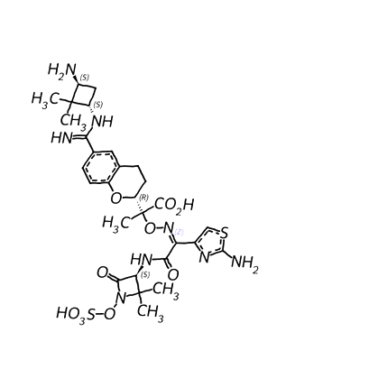 CC(O/N=C(\C(=O)N[C@@H]1C(=O)N(OS(=O)(=O)O)C1(C)C)c1csc(N)n1)(C(=O)O)[C@H]1CCc2cc(C(=N)N[C@H]3C[C@H](N)C3(C)C)ccc2O1